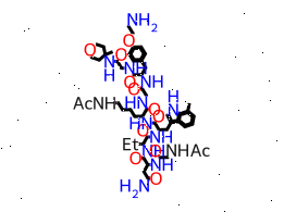 CCC(NC(=O)C(CC(N)=O)NC(=O)CNC(C)=O)C(=O)NC(Cc1c[nH]c2c(C)cccc12)C(=O)NC(CCCCNC(C)=O)C(=O)NCC(=O)NC(Cc1ccc(OCCN)cc1)C(=O)NCC(=O)NC1(C)CCOCC1